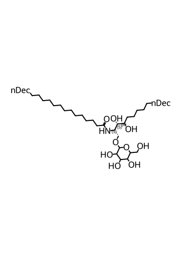 CCCCCCCCCCCCCCCCCCCCCCCC(=O)N[C@@H](COC1OC(CO)C(O)C(O)C1O)[C@H](O)[C@H](O)CCCCCCCCCCCCCCC